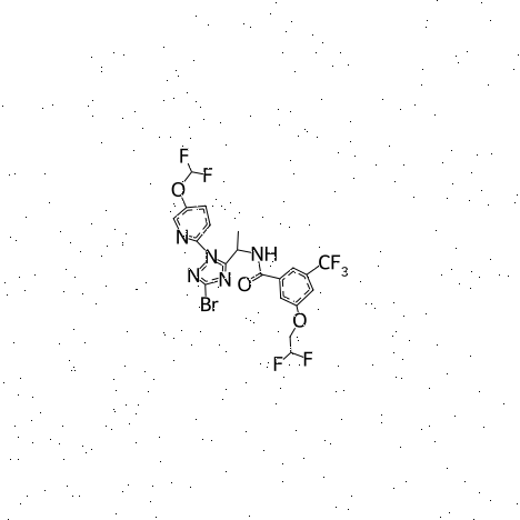 CC(NC(=O)c1cc(OCC(F)F)cc(C(F)(F)F)c1)c1nc(Br)nn1-c1ccc(OC(F)F)cn1